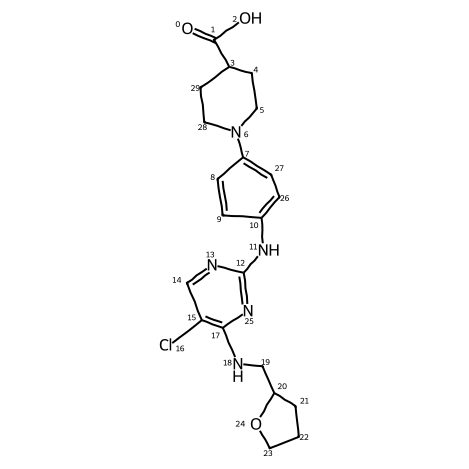 O=C(O)C1CCN(c2ccc(Nc3ncc(Cl)c(NCC4CCCO4)n3)cc2)CC1